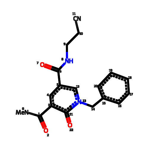 CNC(=O)c1cc(C(=O)NCCC#N)cn(Cc2ccccc2)c1=O